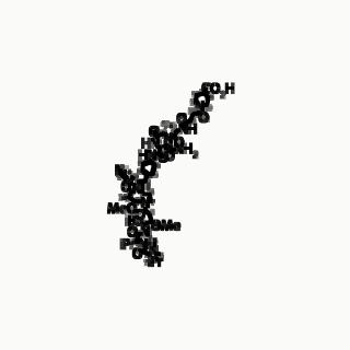 CC[C@H](C)[C@@H]([C@@H](CC(=O)N1CCC[C@H]1[C@H](OC)[C@@H](C)C(=O)N[C@H](CN=[N+]=[N-])Cc1ccc(NC(=O)[C@H](CC(N)=O)NC(=O)[C@H](C)NC(=O)[C@H](C)NC(=O)CCC(=O)N2CCC(C(=O)O)CC2)cc1)OC)N(C)C(=O)[C@@H](NC(=O)[C@H](C(C)C)N(C)C)C(C)C